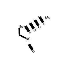 [C-]#[N+]CC(C)CC.[C]=O.[C]=O.[C]=O.[C]=O.[C]=O.[Mo]